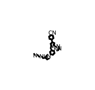 CN(C)CCNCC1CCN(c2ccc3c(c2)Cn2cc(-c4ccc(C#N)cc4)cc2-c2nncn2-3)C1